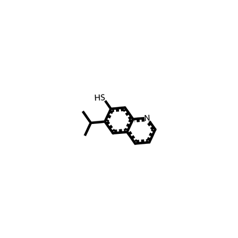 CC(C)c1cc2cccnc2cc1S